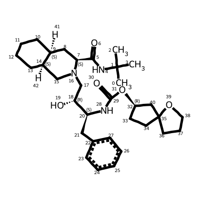 CC(C)(C)NC(=O)[C@@H]1C[C@@H]2CCCC[C@@H]2CN1C[C@@H](O)[C@H](Cc1ccccc1)NC(=O)O[C@@H]1CCC2(CCCO2)C1